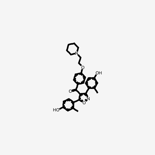 Cc1cc(O)ccc1-c1noc(-c2ccc(O)cc2C)c1C(=O)c1ccc(OCCN2CCCCC2)cc1